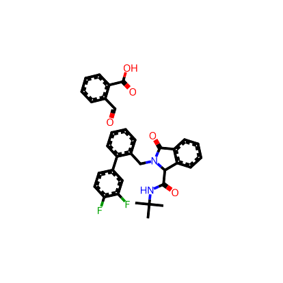 CC(C)(C)NC(=O)C1c2ccccc2C(=O)N1Cc1ccccc1-c1ccc(F)c(F)c1.O=Cc1ccccc1C(=O)O